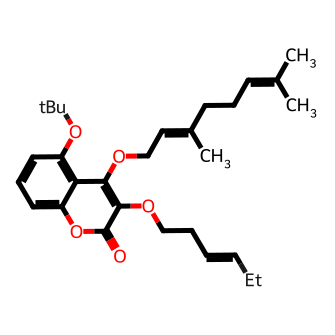 CCC=CCCOc1c(OC/C=C(\C)CCC=C(C)C)c2c(OC(C)(C)C)cccc2oc1=O